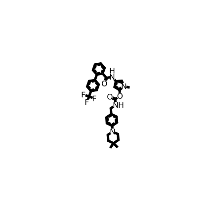 Cn1cc(NC(=O)c2ccccc2-c2ccc(C(F)(F)F)cc2)cc1OC(=O)NCc1ccc(N2CCC(C)(C)CC2)cc1